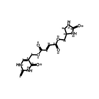 C=C1NC=C(COC(=O)/C=C/C(=O)OCC2CNC(=O)N2)C(=O)N1